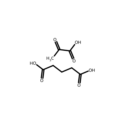 CC(=O)C(=O)O.O=C(O)CCCC(=O)O